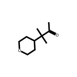 CC(=O)C(C)(C)C1CCOCC1